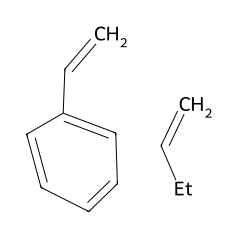 C=CCC.C=Cc1ccccc1